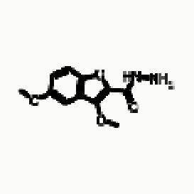 COc1ccc2oc(C(=O)NN)c(OC)c2c1